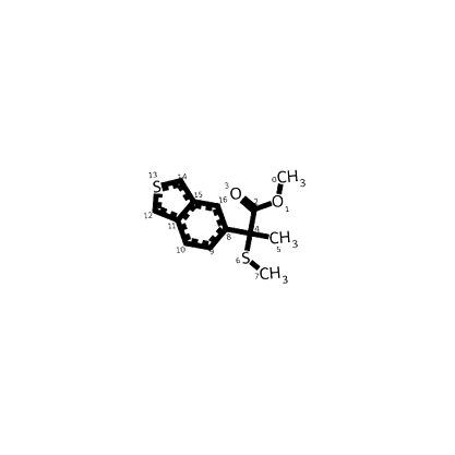 COC(=O)C(C)(SC)c1ccc2cscc2c1